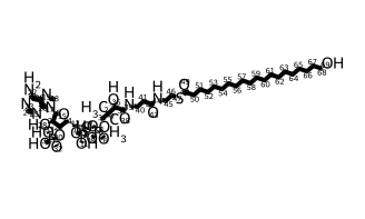 CC(C)(COP(=O)(O)OP(=O)(O)OC[C@H]1O[C@@H](n2cnc3c(N)ncnc32)[C@H](O)[C@@H]1OP(=O)(O)O)[C@@H](O)C(=O)NCCC(=O)NCCSC(=O)CCCCCCCCCCCCCCCCCCCO